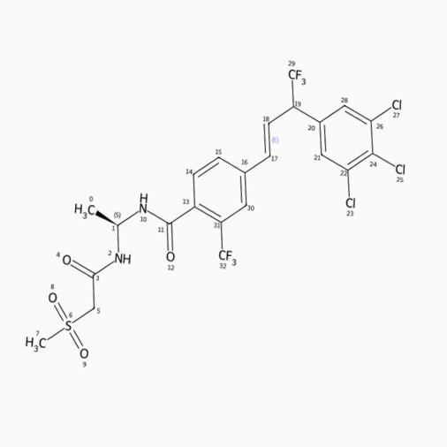 C[C@H](NC(=O)CS(C)(=O)=O)NC(=O)c1ccc(/C=C/C(c2cc(Cl)c(Cl)c(Cl)c2)C(F)(F)F)cc1C(F)(F)F